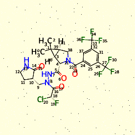 CC1(C)[C@@H]2[C@@H](C(=O)NN(C[C@@H]3CCNC3=O)C(=O)[C@H](F)Cl)N(C(=O)c3cc(C(F)(F)F)cc(C(F)(F)F)c3)C[C@@H]21